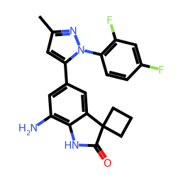 Cc1cc(-c2cc(N)c3c(c2)C2(CCC2)C(=O)N3)n(-c2ccc(F)cc2F)n1